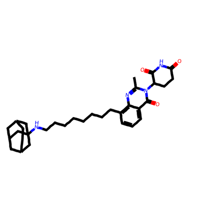 Cc1nc2c(CCCCCCCCNC34CC5CC(CC(C5)C3)C4)cccc2c(=O)n1C1CCC(=O)NC1=O